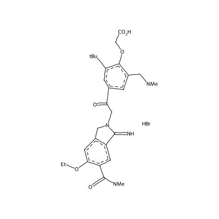 Br.CCOc1cc2c(cc1C(=O)NC)C(=N)N(CC(=O)c1cc(CNC)c(OCC(=O)O)c(C(C)(C)C)c1)C2